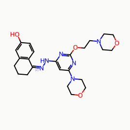 Oc1ccc2c(c1)CCC/C2=N/Nc1cc(N2CCOCC2)nc(OCCN2CCOCC2)n1